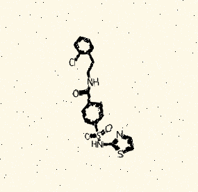 O=C(NCCc1ccccc1Cl)c1ccc(S(=O)(=O)Nc2nccs2)cc1